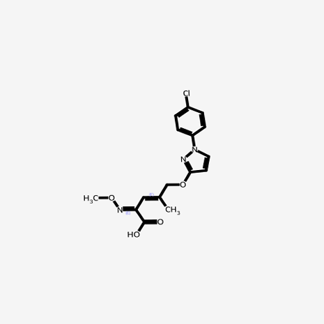 CO/N=C(\C=C(/C)COc1ccn(-c2ccc(Cl)cc2)n1)C(=O)O